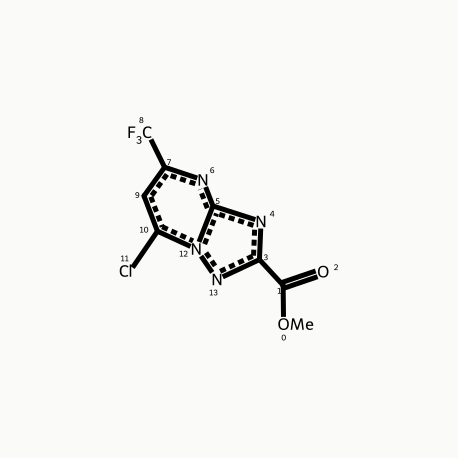 COC(=O)c1nc2nc(C(F)(F)F)cc(Cl)n2n1